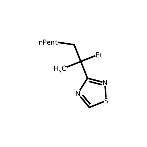 CCCCCCC(C)(CC)c1ncsn1